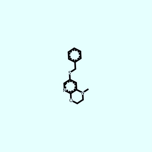 CN1CCOc2ncc(SCc3ccccc3)cc21